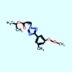 COCOc1cc(C)cc(-c2ncn(/C=C\C(=O)OC(C)C)n2)c1